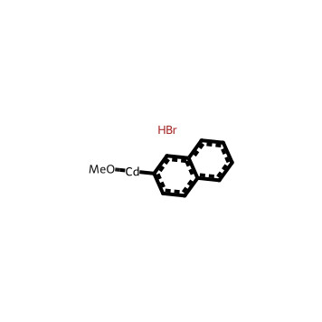 Br.C[O][Cd][c]1ccc2ccccc2c1